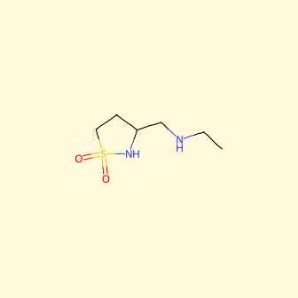 CCNCC1CCS(=O)(=O)N1